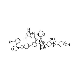 CC(C)c1ccccc1[C@@H]1COCCN1C1CC2(CCN(c3ccc(C(=O)NS(=O)(=O)c4ccc(NCC5CCC(C)(O)CC5)c([N+](=O)[O-])c4)c(N4C[C@@H]5COCCCN5c5nc6[nH]cc(F)c6cc54)c3)CC2)C1